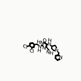 N=Cc1nc(NCc2ccc(Cl)c(Cl)c2)[nH]c(=O)c1NC1CCN(Cc2ccccn2)CC1